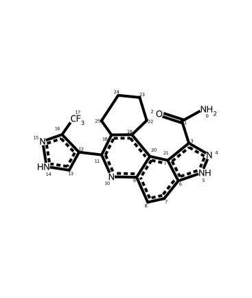 NC(=O)c1n[nH]c2ccc3nc(-c4c[nH]nc4C(F)(F)F)c4c(c3c12)CCCC4